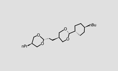 CCCC[C@H]1CC[C@H]([C@H]2OC[C@H](CC[C@H]3OC[C@H](CCC)CO3)CO2)CC1